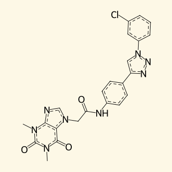 Cn1c(=O)c2c(ncn2CC(=O)Nc2ccc(-c3cn(-c4cccc(Cl)c4)nn3)cc2)n(C)c1=O